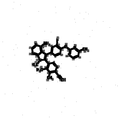 C#Cc1ncc(-c2c(-c3ccc(Oc4nccc(C)n4)c(F)c3)c3c(N)ncnc3n2C)c(C)c1C